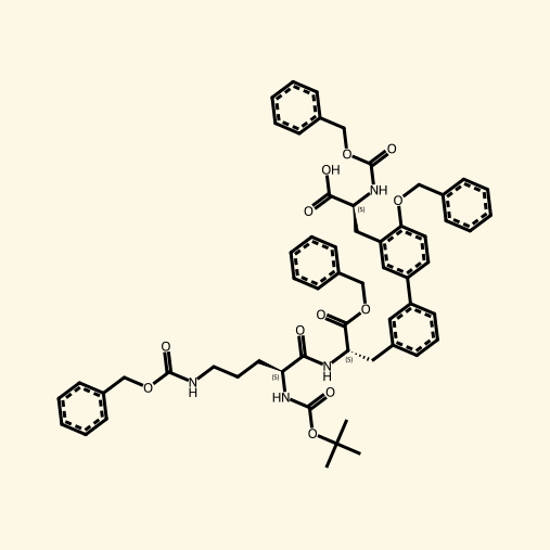 CC(C)(C)OC(=O)N[C@@H](CCCNC(=O)OCc1ccccc1)C(=O)N[C@@H](Cc1cccc(-c2ccc(OCc3ccccc3)c(C[C@H](NC(=O)OCc3ccccc3)C(=O)O)c2)c1)C(=O)OCc1ccccc1